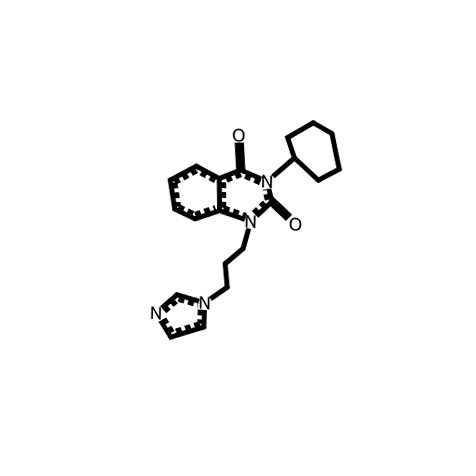 O=c1c2ccccc2n(CCCn2ccnc2)c(=O)n1C1CCCCC1